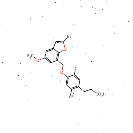 CCCc1cc(OCc2cc(OC(F)(F)F)cc3cc(CC)oc23)c(F)cc1CCC(=O)O